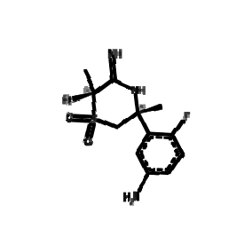 CC[C@@]1(C)C(=N)N[C@](C)(c2cc(N)ccc2F)CS1(=O)=O